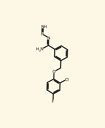 N=N/N=C(\N)c1cccc(COc2ccc(F)cc2Cl)c1